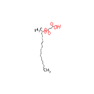 CCCCCCCCCCCCCCCCC(C)OOC(=O)CCC(=O)O